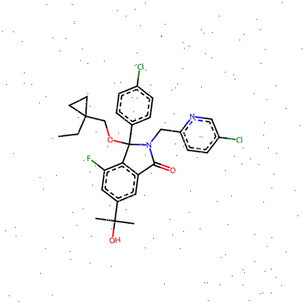 CCC1(COC2(c3ccc(Cl)cc3)c3c(F)cc(C(C)(C)O)cc3C(=O)N2Cc2ccc(Cl)cn2)CC1